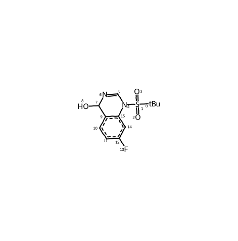 CC(C)(C)S(=O)(=O)N1C=NC(O)c2ccc(F)cc21